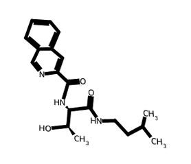 CC(C)C[CH]NC(=O)[C@@H](NC(=O)c1cc2ccccc2cn1)[C@@H](C)O